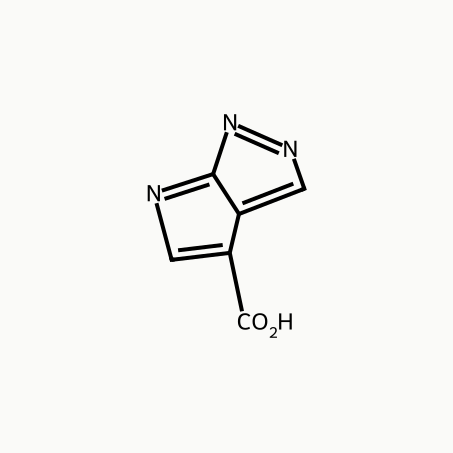 O=C(O)C1=CN=C2N=NC=C12